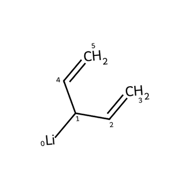 [Li][CH](C=C)C=C